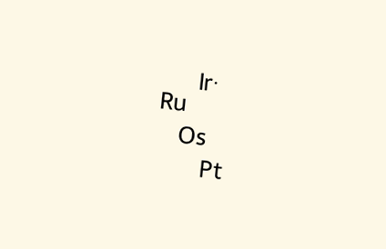 [Ir].[Os].[Pt].[Ru]